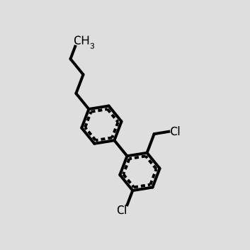 CCCCc1ccc(-c2cc(Cl)ccc2CCl)cc1